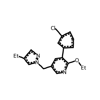 CCOc1ncc(Cn2cc(CC)cn2)cc1-c1cccc(Cl)c1